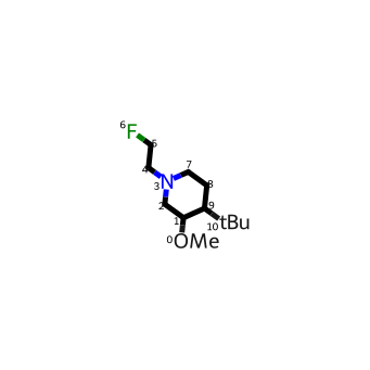 COC1CN(CCF)CCC1C(C)(C)C